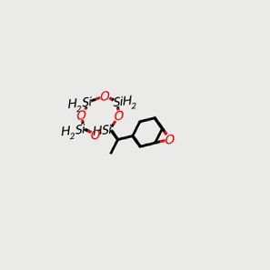 CC(C1CCC2OC2C1)[SiH]1O[SiH2]O[SiH2]O[SiH2]O1